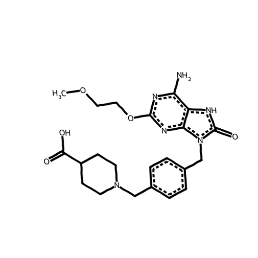 COCCOc1nc(N)c2[nH]c(=O)n(Cc3ccc(CN4CCC(C(=O)O)CC4)cc3)c2n1